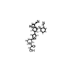 N#Cc1ccccc1Sc1cc(-c2cnn([C@@H]3CCCN(C(=O)CO)C3)c2)cn2ncc(C#N)c12